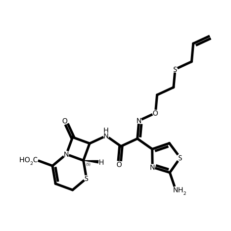 C=CCSCCON=C(C(=O)NC1C(=O)N2C(C(=O)O)=CCS[C@@H]12)c1csc(N)n1